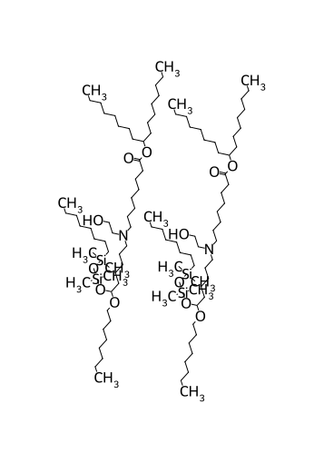 CCCCCCCCOC(CCCCCN(CCO)CCCCCCCC(=O)OC(CCCCCCCC)CCCCCCCC)O[Si](C)(C)O[Si](C)(C)CCCCCCCC.CCCCCCCCOC(CCCCCN(CCO)CCCCCCCC(=O)OC(CCCCCCCC)CCCCCCCC)O[Si](C)(C)O[Si](C)(C)CCCCCCCC